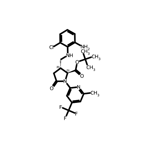 Cc1cc(C(F)(F)F)cc(N2C(=O)C[C@H](CNc3c(N)cccc3Cl)[C@H]2C(=O)OC(C)(C)C)n1